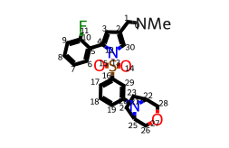 CNCc1cc(-c2ccccc2F)n(S(=O)(=O)c2cccc(N3C4CCC3COC4)c2)c1